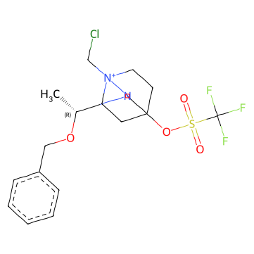 C[C@@H](OCc1ccccc1)N1CC2(OS(=O)(=O)C(F)(F)F)CC[N+]1(CCl)CC2